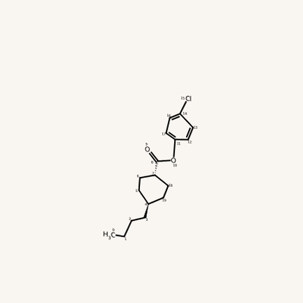 CCCC[C@H]1CC[C@H](C(=O)Oc2ccc(Cl)cc2)CC1